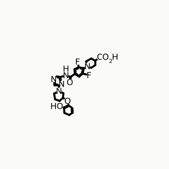 O=C(Nc1cncc(N2CCCC(OC3=C(O)CCC=C3)C2)n1)c1cc(F)c(N2CCC(C(=O)O)CC2)c(F)c1